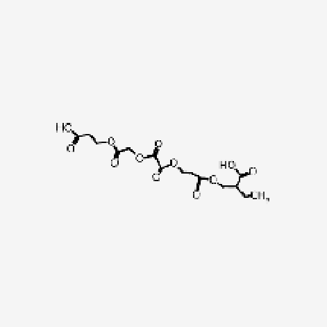 CCC(COC(=O)CCOC(=O)C(=O)OCC(=O)OCCC(=O)O)C(=O)O